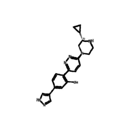 Oc1cc(-c2cn[nH]c2)ccc1-c1ccc(N2CCN[C@@H](C3CC3)C2)nn1